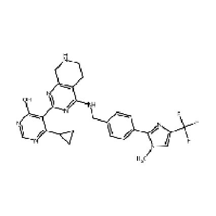 Cn1cc(C(F)(F)F)nc1-c1ccc(CNc2nc(-c3c(O)ncnc3C3CC3)nc3c2CCNC3)cc1